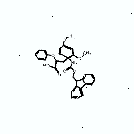 COC1=CC(OC)C(CC(Oc2ccccc2)C(=O)O)(NC(=O)OCC2c3ccccc3-c3ccccc32)C=C1